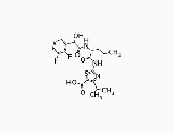 CCC[C@H](NC(=O)C(O)c1cccc(F)c1F)C(=O)Nc1nc(C(C)C)c(C(=O)O)s1